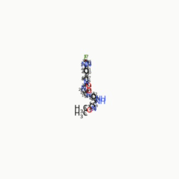 CC(C)Oc1ccc(C2NNc3ccc(N4CC[C@]5(CCN(CC(=O)N6CC=C(c7ccc(-c8ncc(F)cn8)cc7)CC6)C5)C4=O)cc32)cn1